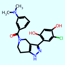 CN(C)c1cccc(C(=O)N2CCc3[nH]nc(-c4cc(Cl)c(O)cc4O)c3C2)c1